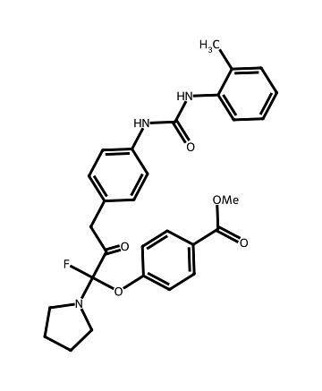 COC(=O)c1ccc(OC(F)(C(=O)Cc2ccc(NC(=O)Nc3ccccc3C)cc2)N2CCCC2)cc1